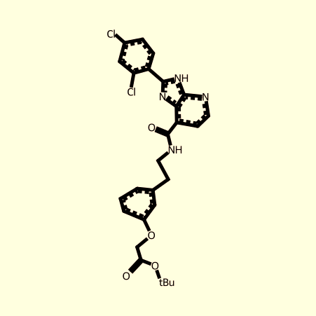 CC(C)(C)OC(=O)COc1cccc(CCNC(=O)c2ccnc3[nH]c(-c4ccc(Cl)cc4Cl)nc23)c1